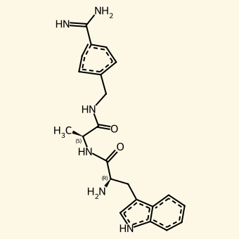 C[C@H](NC(=O)[C@H](N)Cc1c[nH]c2ccccc12)C(=O)NCc1ccc(C(=N)N)cc1